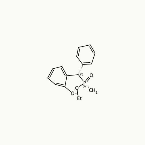 CCO[P@](C)(=O)[C@@H](c1ccccc1)c1ccccc1O